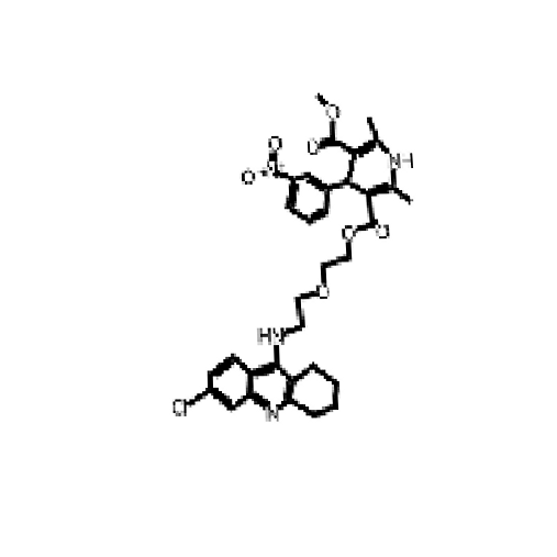 COC(=O)C1=C(C)NC(C)=C(C(=O)OCCOCCNc2c3c(nc4cc(Cl)ccc24)CCCC3)C1c1cccc([N+](=O)[O-])c1